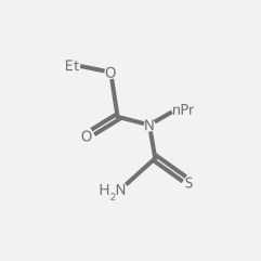 CCCN(C(=O)OCC)C(N)=S